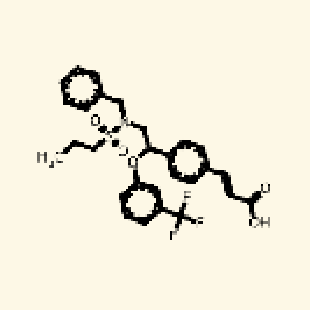 CCCS(=O)(=O)N(Cc1ccccc1)CC(Oc1cccc(C(F)(F)F)c1)c1ccc(C=CC(=O)O)cc1